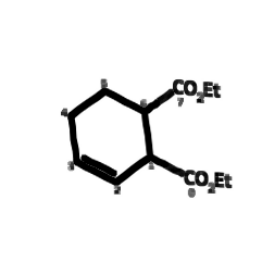 CCOC(=O)C1C=CCCC1C(=O)OCC